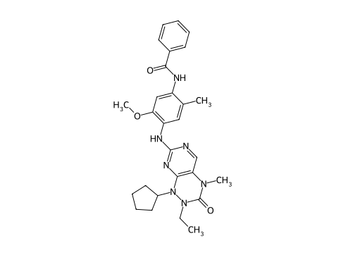 CCN1C(=O)N(C)c2cnc(Nc3cc(C)c(NC(=O)c4ccccc4)cc3OC)nc2N1C1CCCC1